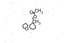 C1CCCCC1.C1CCOC1.CCOC(C)=O